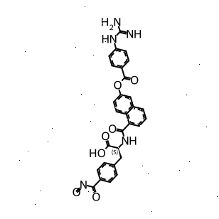 N=C(N)Nc1ccc(C(=O)Oc2ccc3c(C(=O)N[C@@H](Cc4ccc(C(=O)N=O)cc4)C(=O)O)cccc3c2)cc1